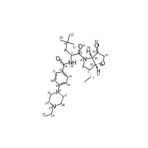 CC[C@@H]1CN(C(=O)C(CC(C)(C)C)NC(=O)c2ccc(N3CCN(CC)CC3)cc2)[C@@H]2C(=O)CO[C@H]12